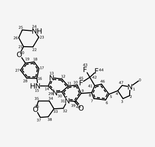 CN1CCC(c2ccc(-c3cc4cnc(Nc5ccc(OC6CCNCC6)cc5)nc4n(CC4CCOCC4)c3=O)c(C(F)(F)F)c2)C1